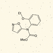 CCOc1ccccc1N(C(=O)OC)c1ccno1